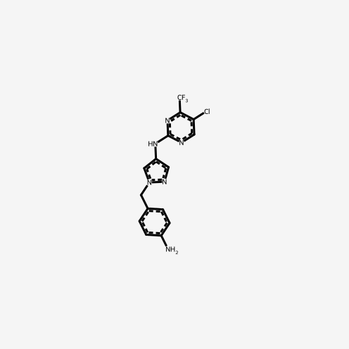 Nc1ccc(Cn2cc(Nc3ncc(Cl)c(C(F)(F)F)n3)cn2)cc1